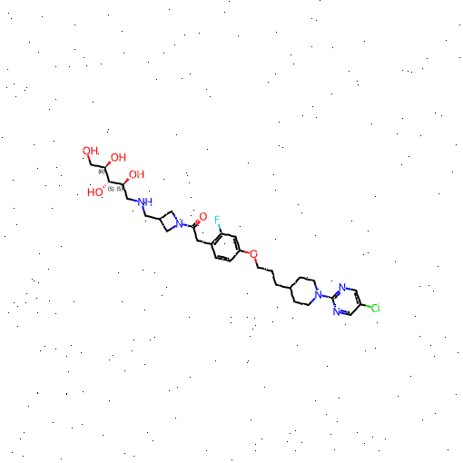 O=C(Cc1ccc(OCCCC2CCN(c3ncc(Cl)cn3)CC2)cc1F)N1CC(CNC[C@H](O)[C@H](O)[C@H](O)CO)C1